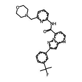 CC(C)(F)c1cccc(-c2cc3nccc(C(=O)Nc4cccc(CN5CCOCC5)n4)n3n2)c1